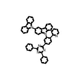 c1ccc(-c2nc(-c3ccccc3)nc(-c3ccc(-c4ccccn4)c(-n4c5ccccc5c5cc(-n6c7ccccc7c7ccccc76)ccc54)c3)n2)cc1